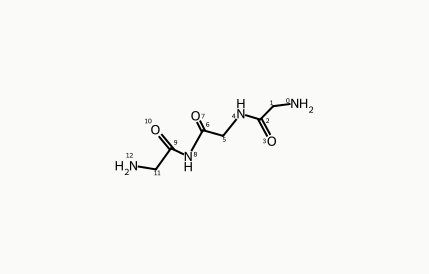 NCC(=O)NCC(=O)NC(=O)CN